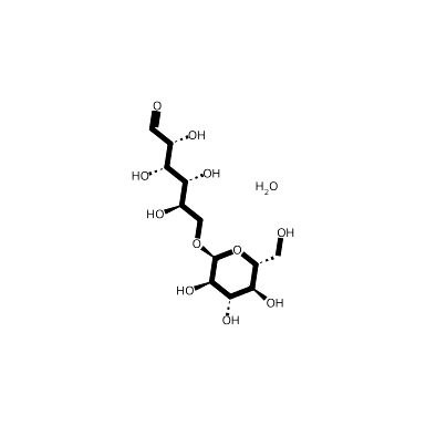 O.O=C[C@H](O)[C@@H](O)[C@H](O)[C@H](O)CO[C@H]1O[C@H](CO)[C@@H](O)[C@H](O)[C@H]1O